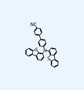 N#Cc1ccc(-c2ccc(N(c3cccc4c3sc3ccccc34)c3cccc4c3sc3ccccc34)cc2)cc1